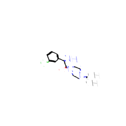 CC(C)N1CCN(C(=O)C(N)c2cccc(Cl)c2)CC1